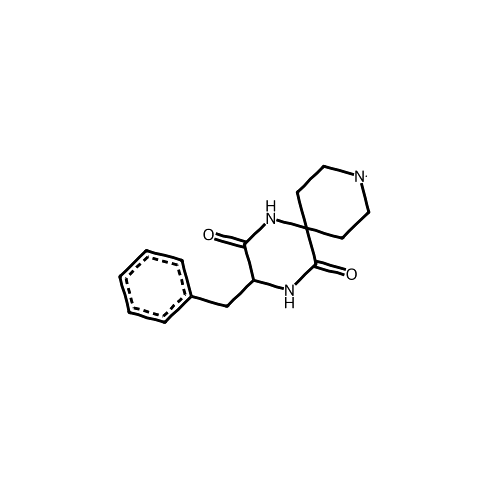 O=C1NC2(CC[N]CC2)C(=O)NC1Cc1ccccc1